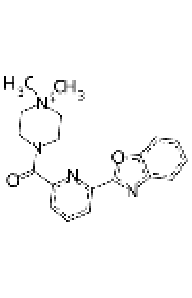 C[N+]1(C)CCN(C(=O)c2cccc(-c3nc4ccccc4o3)n2)CC1